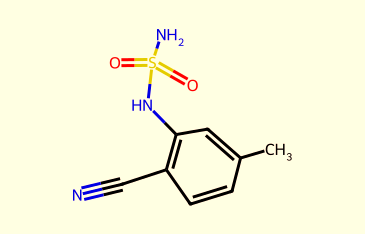 Cc1ccc(C#N)c(NS(N)(=O)=O)c1